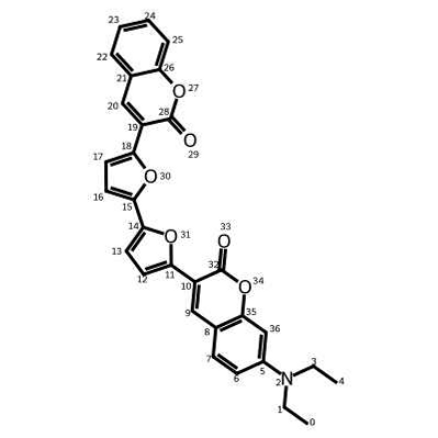 CCN(CC)c1ccc2cc(-c3ccc(-c4ccc(-c5cc6ccccc6oc5=O)o4)o3)c(=O)oc2c1